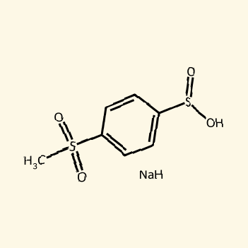 CS(=O)(=O)c1ccc(S(=O)O)cc1.[NaH]